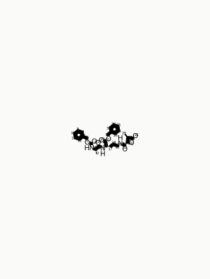 C[C@H](NC(=O)OCc1ccccc1)C(=O)N[C@@H](CCCNC(=O)[C@H]1OC(=O)[C@@H]1C)C(=O)OCc1ccccc1